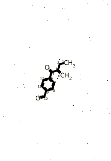 C=C(CC)C(=O)c1ccc(C=O)cc1